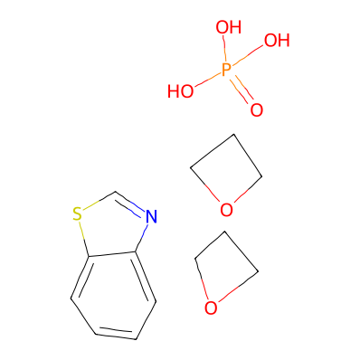 C1COC1.C1COC1.O=P(O)(O)O.c1ccc2scnc2c1